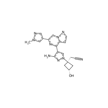 Cn1cc(-c2cn3nccc3c(-c3cn([C@]4(CC#N)C[C@@H](O)C4)nc3N)n2)cn1